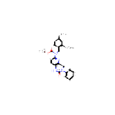 COc1ccc(CN(C(=O)OC(C)(C)C)c2ccc3c(n2)CN(c2ccccc2)C(=O)N3)c(OC)c1